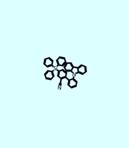 N#Cc1cc([Si](c2ccccc2)(c2ccccc2)c2ccccc2)ccc1-c1ccccc1-n1c2ccccc2c2ccccc21